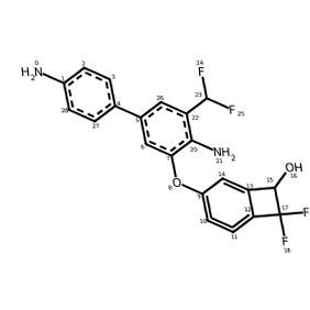 Nc1ccc(-c2cc(OC3=C=C=C4C(=C3)C(O)C4(F)F)c(N)c(C(F)F)c2)cc1